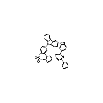 N#Cc1ccc2c(c1)c1ccccc1n2-c1ccc2c(c1)-c1cc(-c3cc(-c4ccccc4)nc(-c4ccccc4)c3)ccc1CS(=O)(=O)C2